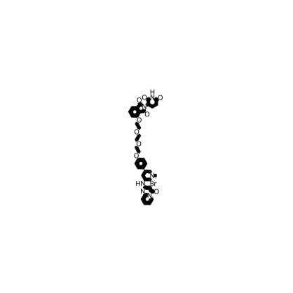 CN1C[C@H](Nc2nc3ccccn3c(=O)c2Br)C[C@H](c2ccc(OCCOCCOCCOc3cccc4c3C(=O)N(C3CCC(=O)NC3=O)C4=O)cc2)C1